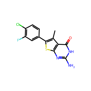 Cc1c(-c2ccc(Cl)c(F)c2)sc2nc(N)[nH]c(=O)c12